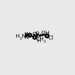 Cc1ccc(-c2ccn3nc(N)nc3c2)c(Cl)c1C(=O)NCC[C@H](O)c1ccc(Cl)cc1